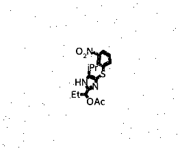 CCC(OC(C)=O)c1nc(Sc2cccc([N+](=O)[O-])c2)c(C(C)C)[nH]1